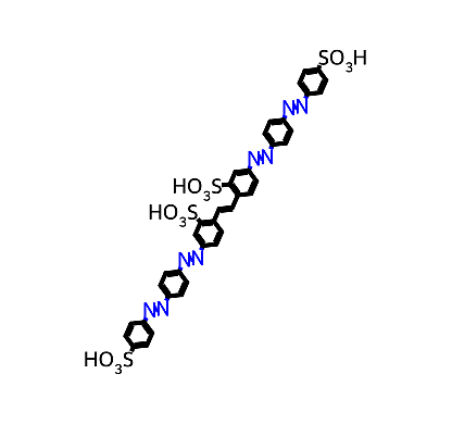 O=S(=O)(O)c1ccc(N=Nc2ccc(N=Nc3ccc(C=Cc4ccc(N=Nc5ccc(N=Nc6ccc(S(=O)(=O)O)cc6)cc5)cc4S(=O)(=O)O)c(S(=O)(=O)O)c3)cc2)cc1